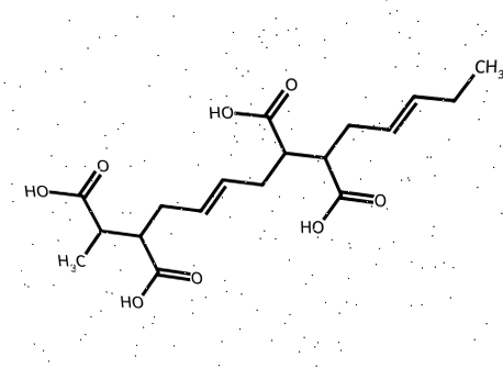 CCC=CCC(C(=O)O)C(CC=CCC(C(=O)O)C(C)C(=O)O)C(=O)O